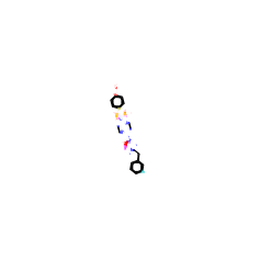 CCOc1ccc(S(=O)(=O)N2CCN(c3nc(Cc4cccc(F)c4)no3)CC2)cc1